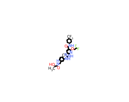 C[C@H](O)C(=O)NCc1ccc(C(F)(F)F)c(Nc2nc3cc(C(=O)N[C@H]4CC[C@H](C(F)(F)F)CC4)c(OCC(F)F)nc3[nH]2)c1